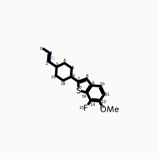 C/C=C/C1CCC(c2cc3ccc(OC)c(F)c3s2)CC1